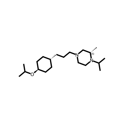 CC(C)O[C@H]1CC[C@H](CCCN2CCN(C(C)C)[C@@H](C)C2)CC1